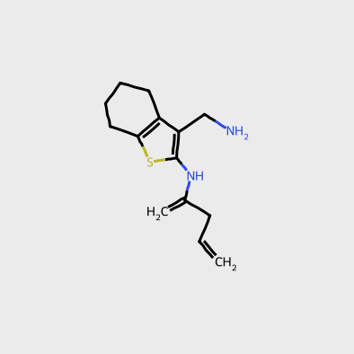 C=CCC(=C)Nc1sc2c(c1CN)CCCC2